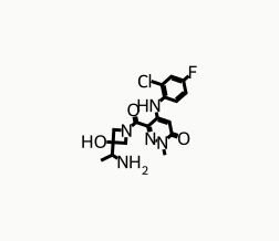 CC(N)C1(O)CN(C(=O)c2nn(C)c(=O)cc2Nc2ccc(F)cc2Cl)C1